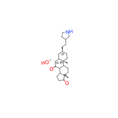 C[C@]12CC[C@H](CCC3CCNC3)CC1[C@@H](CO)C(=O)C1C2CC[C@]2(C)C(=O)CCC12